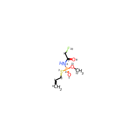 C=CCSP(=O)(NC(=O)CF)OC